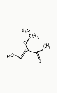 CO/C(=C\O)C(C)=O.[NaH]